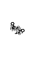 CCOC(=O)c1c(NC(=O)NCc2c(C(F)(F)F)sc3c2CCCC3)sc2c1C(C)CCC2